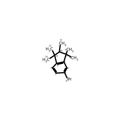 CC(C)c1ccc2c(c1)C(C)(C)C(C)C2(C)C